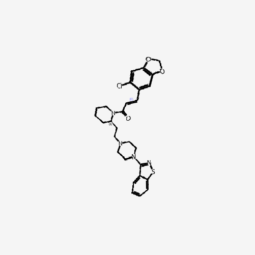 O=C(/C=C/c1cc2c(cc1Cl)OCO2)N1CCCC[C@@H]1CCN1CCN(c2nsc3ccccc23)CC1